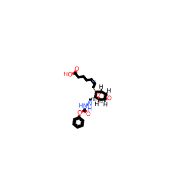 O=C(O)CCC/C=C\C[C@H]1[C@@H](CNNC(=O)Oc2ccccc2)[C@@H]2O[C@H]1[C@@H]1O[C@@H]12